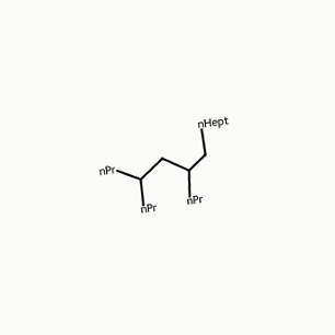 CCCCCCCCC(CCC)CC(CCC)CCC